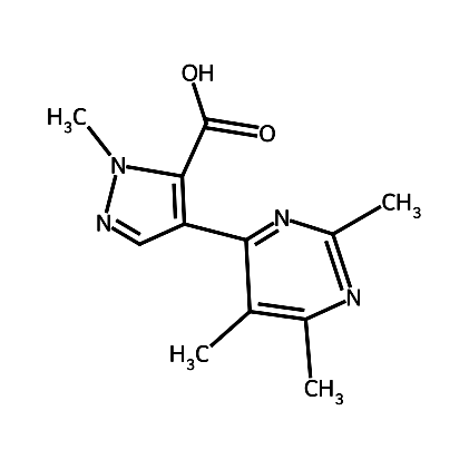 Cc1nc(C)c(C)c(-c2cnn(C)c2C(=O)O)n1